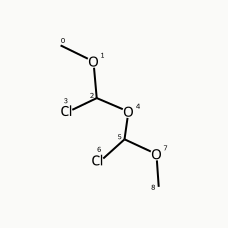 COC(Cl)OC(Cl)OC